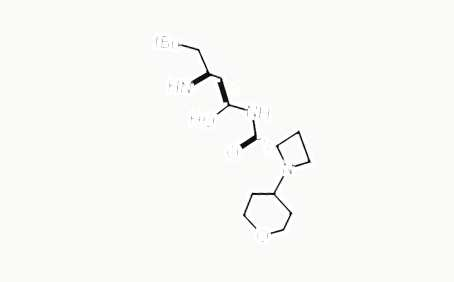 CC(C)(C)CC(=N)/C=C(\O)NC(=O)[C@@H]1CCN1C1CCOCC1